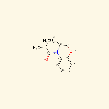 CC(C)C(=O)N1c2ccccc2OCC1C